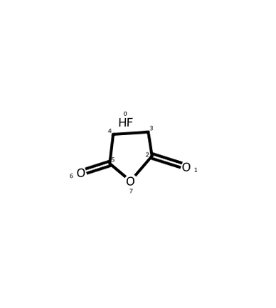 F.O=C1CCC(=O)O1